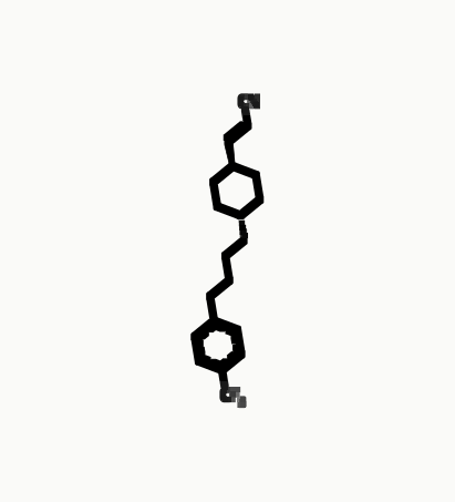 N#C/C=C/[C@H]1CC[C@H](CCCCc2ccc(C(F)(F)F)cc2)CC1